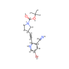 CC(C)(C)OC(=O)N1CCC(C#Cc2ncc(Br)cc2C#N)C1